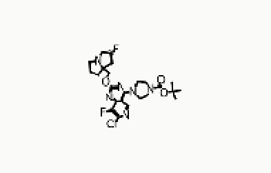 CC(C)(C)OC(=O)N1CCN(c2nc(OCC34CCCN3C[C@H](F)C4)nc3c(F)c(Cl)ncc23)CC1